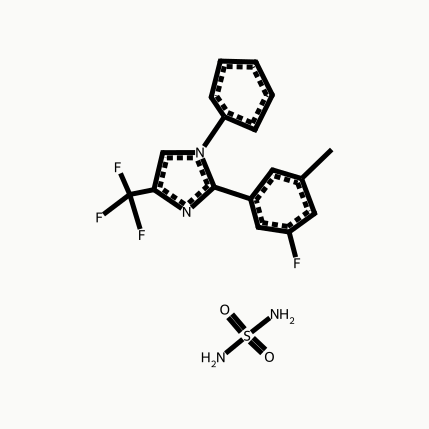 Cc1cc(F)cc(-c2nc(C(F)(F)F)cn2-c2ccccc2)c1.NS(N)(=O)=O